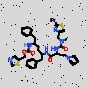 CC(C)c1nc(CN(C)C(=O)NC(CCn2cccc2)C(=O)NC(CCC(Cc2ccccc2)NC(=O)OCc2cncs2)Cc2ccccc2)cs1